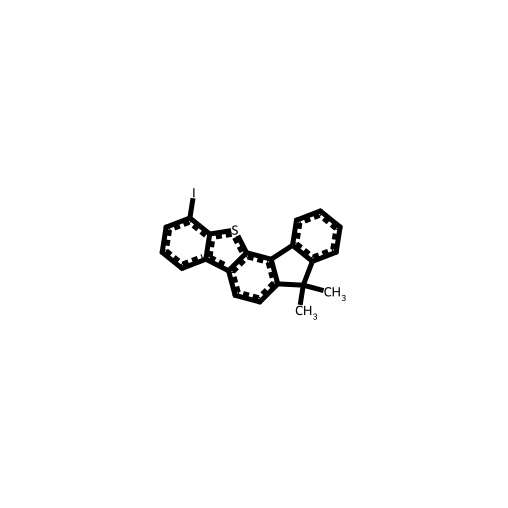 CC1(C)c2ccccc2-c2c1ccc1c2sc2c(I)cccc21